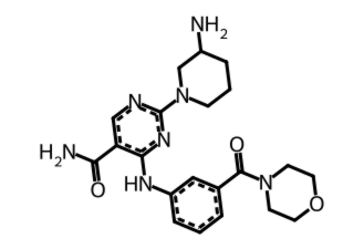 NC(=O)c1cnc(N2CCCC(N)C2)nc1Nc1cccc(C(=O)N2CCOCC2)c1